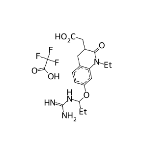 CCC(NC(=N)N)Oc1ccc2c(c1)N(CC)C(=O)C(CC(=O)O)C2.O=C(O)C(F)(F)F